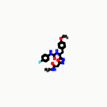 CNC(=O)Cc1nnc([C@H](Cc2ccc(OC)cc2)NC(=O)Nc2ccc(F)cc2)o1